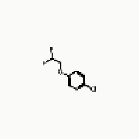 FC(F)COc1[c]cc(Cl)cc1